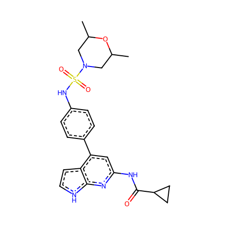 CC1CN(S(=O)(=O)Nc2ccc(-c3cc(NC(=O)C4CC4)nc4[nH]ccc34)cc2)CC(C)O1